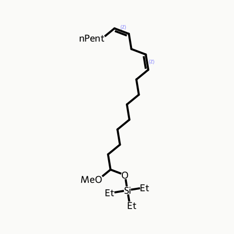 CCCCC/C=C\C/C=C\CCCCCCCC(OC)O[Si](CC)(CC)CC